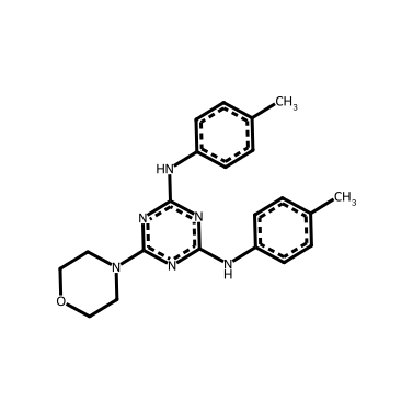 Cc1ccc(Nc2nc(Nc3ccc(C)cc3)nc(N3CCOCC3)n2)cc1